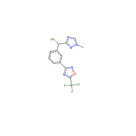 Cn1cnc(C(S)c2cccc(-c3noc(C(F)(F)Cl)n3)c2)n1